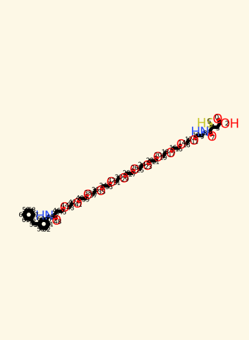 O=C(O)CC(S)C(=O)NCCOCCOCCOCCOCCOCCOCCOCCOCCOCCOCCOCCOCCC(=O)Nc1cccc(Cc2ccccc2)c1